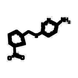 Nc1ccc(SCc2cccc([N+](=O)[O-])c2)nn1